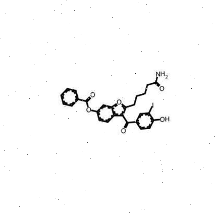 NC(=O)CCCCc1oc2cc(OC(=O)c3ccccc3)ccc2c1C(=O)c1ccc(O)c(I)c1